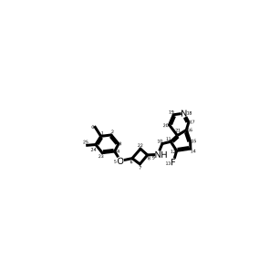 Cc1ccc(OC2CC(NCc3c(F)ccc4cnccc34)C2)cc1C